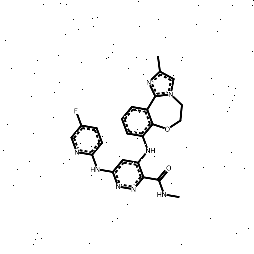 CNC(=O)c1nnc(Nc2ccc(F)cn2)cc1Nc1cccc2c1OCCn1cc(C)nc1-2